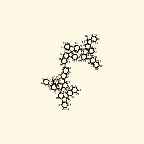 CC1(C)c2ccccc2-c2ccc(N(c3ccc4c(c3)C(C)(c3ccc5ccccc5c3)c3ccccc3-4)c3cccc(-c4ccc5cc(-c6ccc7ccc(C8(c9ccccc9)c9ccccc9-c9ccc(N(c%10ccc%11c(c%10)C(C)(C)c%10ccccc%10-%11)c%10cccc(-c%11ccc%12ccccc%12c%11)c%10-c%10ccccc%10)cc98)cc7c6)ccc5c4)c3-c3ccccc3)cc21